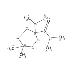 CC(C)C(=O)C1(C(C)C)CCC(C)(C)CC1